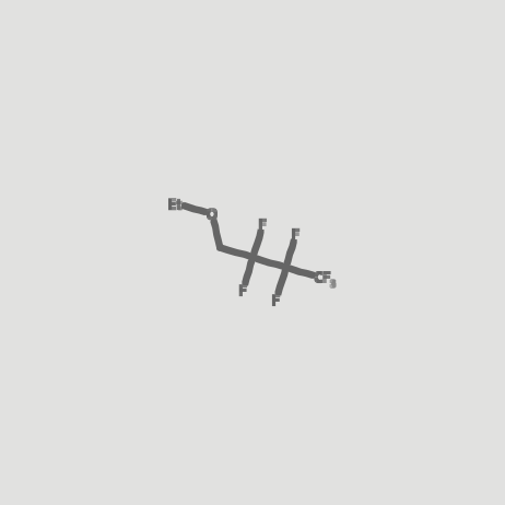 [CH2]COCC(F)(F)C(F)(F)C(F)(F)F